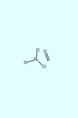 C=O.[Cl][Fe]([Cl])[Cl]